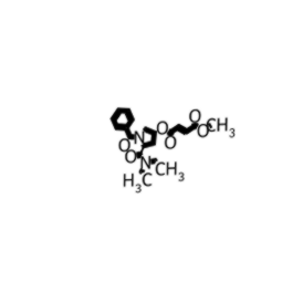 CCN(CC)C(=O)[C@@H]1C[C@@H](OC(=O)/C=C/C(=O)OC)CN1C(=O)c1ccccc1